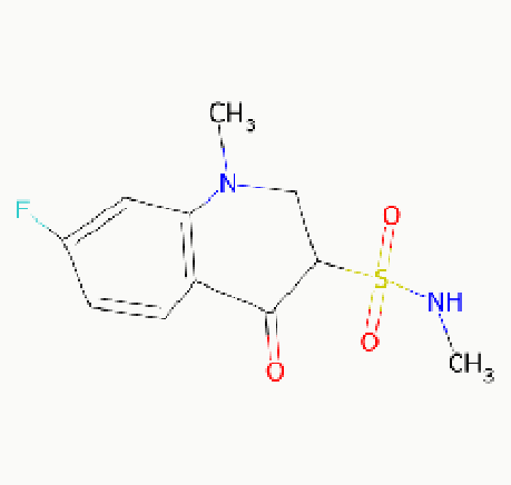 CNS(=O)(=O)C1CN(C)c2cc(F)ccc2C1=O